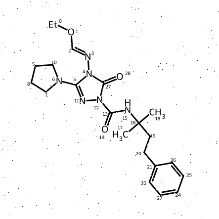 CCO/C=N/n1c(N2CCCC2)nn(C(=O)NC(C)(C)CCc2ccccc2)c1=O